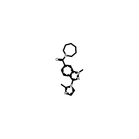 Cc1nccn1-c1nn(C)c2cc(C(=O)N3CCCCCC3)ccc12